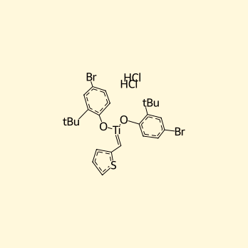 CC(C)(C)c1cc(Br)ccc1[O][Ti](=[CH]c1cccs1)[O]c1ccc(Br)cc1C(C)(C)C.Cl.Cl